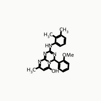 COc1ccccc1C1N=C(Nc2cccc(C)c2C)N=C2N=C(C)C=C(O)N21